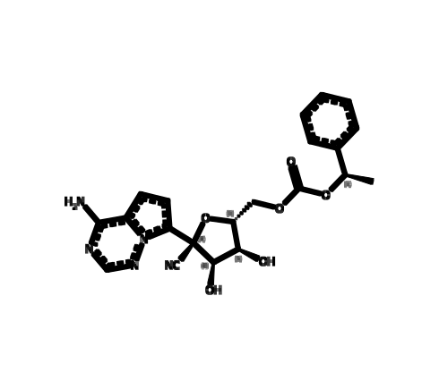 C[C@@H](OC(=O)OC[C@H]1O[C@@](C#N)(c2ccc3c(N)ncnn23)[C@H](O)[C@@H]1O)c1ccccc1